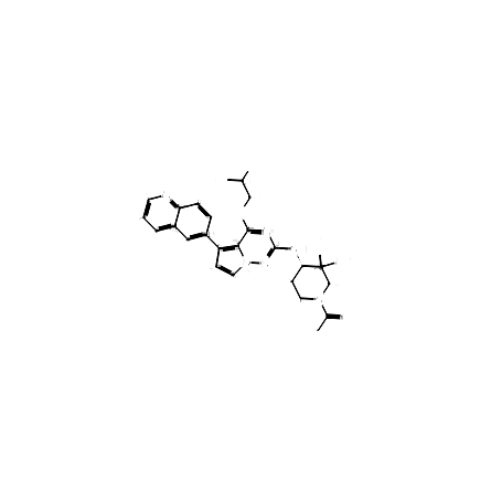 CC(=O)N1CC[C@@H](Nc2nc(OCC(F)F)c3c(-c4ccc5ncccc5c4)ccn3n2)C(F)(F)C1